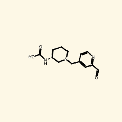 O=Cc1cc(CN2CCC[C@@H](NC(=O)O)C2)ccn1